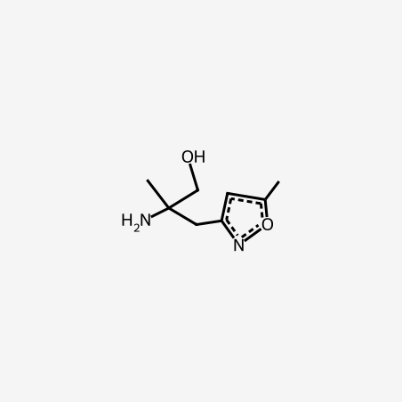 Cc1cc(CC(C)(N)CO)no1